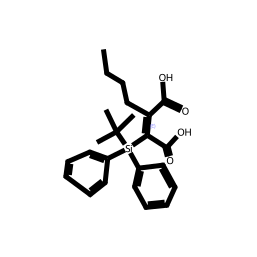 CCCC/C(C(=O)O)=C(/C(=O)O)[Si](c1ccccc1)(c1ccccc1)C(C)(C)C